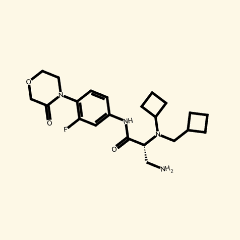 NC[C@H](C(=O)Nc1ccc(N2CCOCC2=O)c(F)c1)N(CC1CCC1)C1CCC1